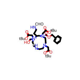 CC(C)(C)OC(=O)CN1CCNCC[N+](CO)(CC(=O)OC(C)(C)C)C(CCNC=O)C[N+](CC(=O)OC(C)(C)C)(C(=O)OCc2ccccc2)CC1